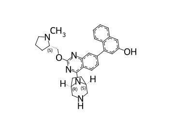 CN1CCC[C@H]1COc1nc(N2[C@@H]3CC[C@H]2CNC3)c2ccc(-c3cc(O)cc4ccccc34)cc2n1